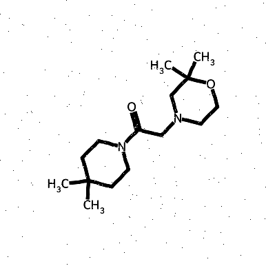 CC1(C)CCN(C(=O)CN2CCOC(C)(C)C2)CC1